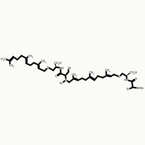 CCC(NC(C)=O)C(=O)N[C@@H](CSC/C=C(\C)CC/C=C(\C)CC/C=C(\C)CN(C(C)=O)C(CC(C)C)C(=O)N[C@@H](CSC/C=C(\C)CC/C=C(\C)CCC=C(C)C)C(=O)O)C(=O)O